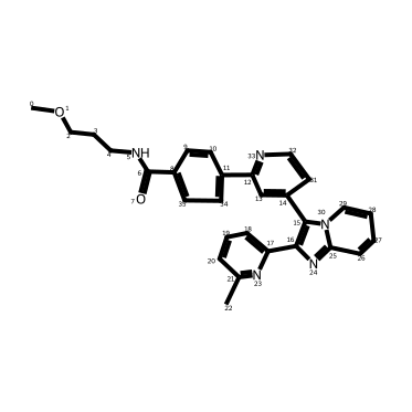 COCCCNC(=O)c1ccc(-c2cc(-c3c(-c4cccc(C)n4)nc4ccccn34)ccn2)cc1